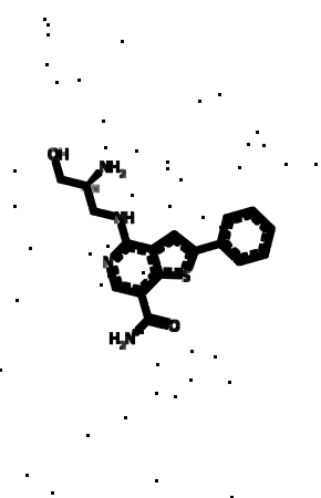 NC(=O)c1cnc(NC[C@H](N)CO)c2cc(-c3ccccc3)sc12